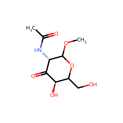 COC1OC(CO)[C@@H](O)C(=O)[C@@H]1NC(C)=O